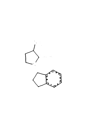 C[C@H]1C(N)CCN1[C@H]1CCc2ccccc21